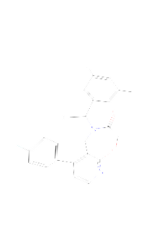 CC(c1cc(C(F)(F)F)cc(C(F)(F)F)c1)N1Cc2c(-c3ccc(F)cc3)ccnc2OCC1=O